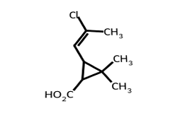 C/C(Cl)=C\C1C(C(=O)O)C1(C)C